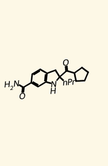 CCCC1(C(=O)C2CCCC2)Cc2ccc(C(N)=O)cc2N1